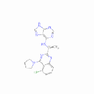 C[C@H](Nc1ncnc2[nH]cnc12)c1nc(N2CCCC2)c2c(Cl)cccc2n1